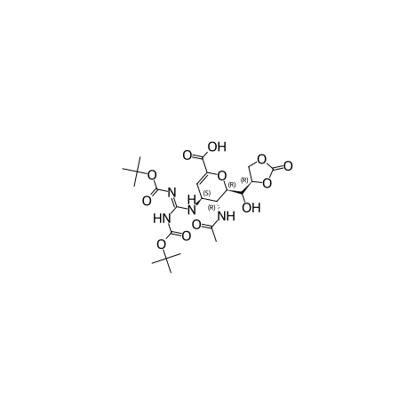 CC(=O)N[C@@H]1[C@@H](NC(=NC(=O)OC(C)(C)C)NC(=O)OC(C)(C)C)C=C(C(=O)O)O[C@H]1C(O)[C@H]1COC(=O)O1